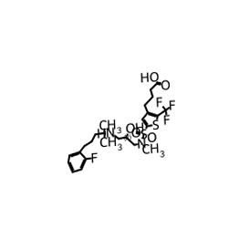 CN(C[C@H](O)CNC(C)(C)CCCc1ccccc1F)S(=O)(=O)c1cc(CCCC(=O)O)c(C(F)(F)F)s1